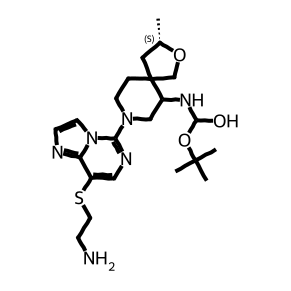 C[C@H]1CC2(CCN(c3ncc(SCCN)c4nccn34)CC2NC(O)OC(C)(C)C)CO1